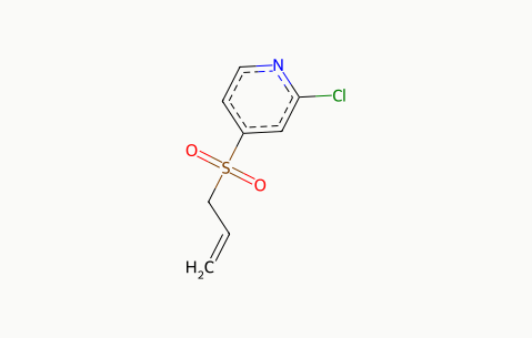 C=CCS(=O)(=O)c1ccnc(Cl)c1